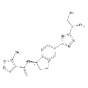 CC(CO)c1nc(-c2ccc3c(c2)CC[C@H]3NC(=O)c2ccnn2C)no1